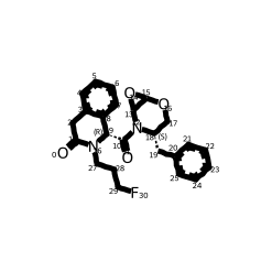 O=C1Cc2ccccc2[C@H](C(=O)N2C3OC3OC[C@@H]2Cc2ccccc2)N1CCCF